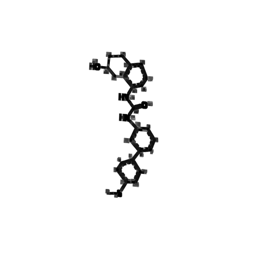 CSc1ccc(-c2cccc(NC(=O)Nc3cccc4c3CC(O)CC4)c2)cc1